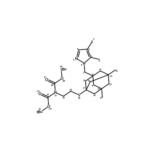 Cc1c(I)cnn1CC12CC3(C)CC(C)(C1)CC(SCCN(C(=O)OC(C)(C)C)C(=O)OC(C)(C)C)(C3)C2